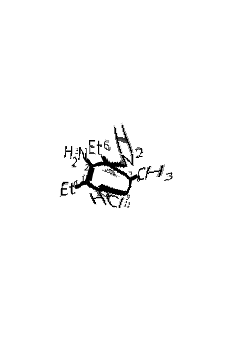 CCC1=C(N)C(N)(CC)C(C)C=C1.Cl